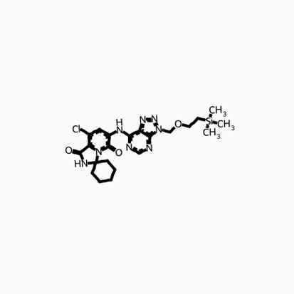 C[Si](C)(C)CCOCn1nnc2c(Nc3cc(Cl)c4n(c3=O)C3(CCCCC3)NC4=O)ncnc21